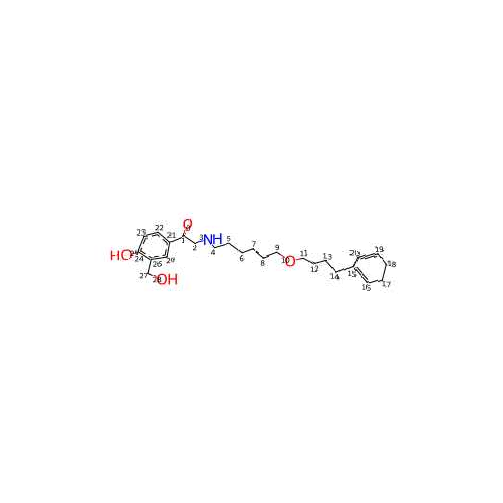 O=C(CNCCCCCCOCCCCC1=CCCC=C1)c1ccc(O)c(CO)c1